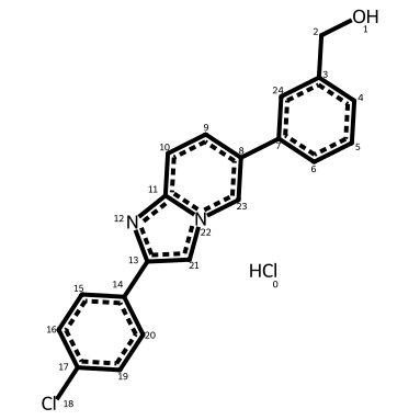 Cl.OCc1cccc(-c2ccc3nc(-c4ccc(Cl)cc4)cn3c2)c1